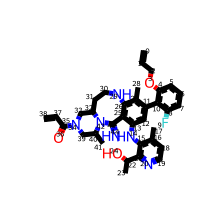 C=CCOc1cccc(F)c1-c1cc(Nc2c(C)ccnc2C(C)O)c2c(c1C)NCCC1CN(C(=O)C=C)CC(C)N1C2=N